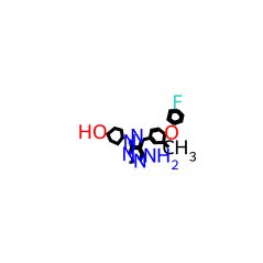 CC1C=C(c2nn([C@H]3CC[C@H](O)CC3)c3ncnc(N)c23)C=CC1Oc1ccc(F)cc1